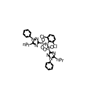 CCCc1nc(S(=O)(=O)N(c2c(Cl)cccc2Cl)S(=O)(=O)c2nc(CCC)n(-c3ccccc3)n2)nn1-c1ccccc1